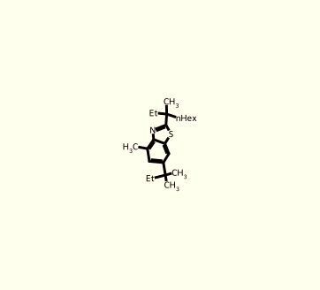 CCCCCCC(C)(CC)c1nc2c(C)cc(C(C)(C)CC)cc2s1